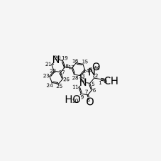 C#CC(N=O)c1cc(=O)c(O)cn1-c1cccc(-c2cncc3ccccc23)c1